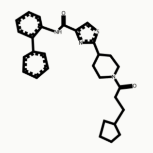 O=C(Nc1ccccc1-c1ccccc1)c1csc(C2CCN(C(=O)CCC3CCCC3)CC2)n1